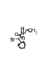 C=CCNS(=O)(=O)C(Br)c1ccccc1